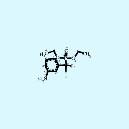 CCOP(=O)(OCC)C(F)(F)c1cccc(N)c1